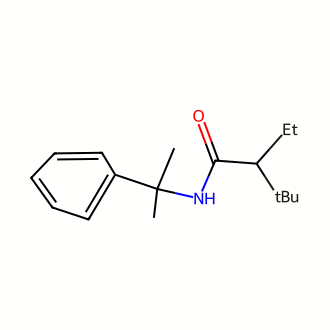 CCC(C(=O)NC(C)(C)c1ccccc1)C(C)(C)C